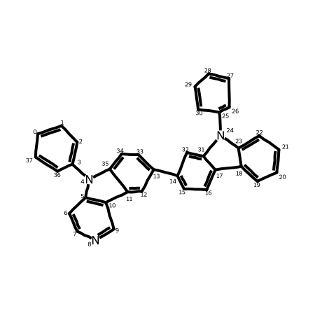 c1ccc(-n2c3ccncc3c3cc(-c4ccc5c6ccccc6n(-c6ccccc6)c5c4)ccc32)cc1